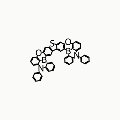 c1ccc(N2c3ccccc3B3c4cc5c(cc4Oc4cccc2c43)sc2cc3c(cc25)B2c4ccccc4N(c4ccccc4)c4cccc(c42)O3)cc1